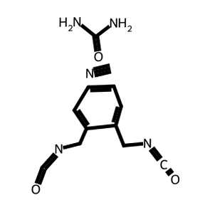 C#N.NC(N)=O.O=C=NCc1ccccc1CN=C=O